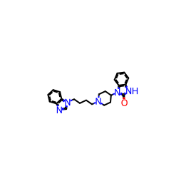 O=c1[nH]c2ccccc2n1C1CCN(CCCCn2cnc3ccccc32)CC1